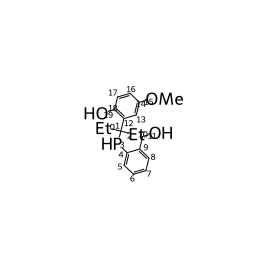 CCC(CC)(Pc1ccccc1CO)c1cc(OC)ccc1O